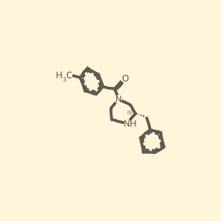 Cc1ccc(C(=O)N2CCN[C@@H](Cc3ccccc3)C2)cc1